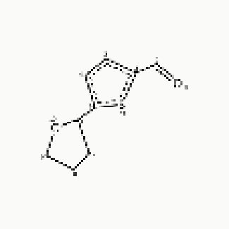 O=Cc1ccc(C2CCCO2)s1